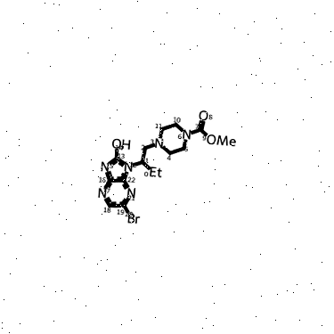 CCC(CN1CCN(C(=O)OC)CC1)n1c(O)nc2ncc(Br)nc21